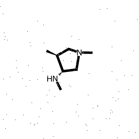 CN[C@H]1CN(C)C[C@@H]1C